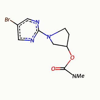 CNC(=O)OC1CCN(c2ncc(Br)cn2)C1